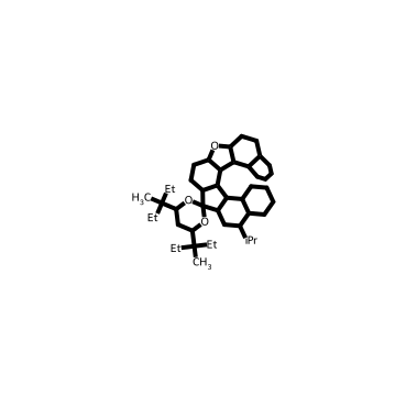 CCC(C)(CC)C1CC(C(C)(CC)CC)OC2(O1)C1CC(C(C)C)C3CCCCC3C1C1C3C(CCC12)OC1CCC2CCCCC2C13